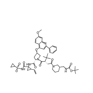 C=CC1C[C@]1(NC(=O)[C@@H]1C[C@@H](Oc2cc(-c3ccccc3)nc3cc(OC)ccc23)CN1C(=O)[C@@H](CC(=O)N1CCCC(CNC(=O)OC(C)(C)C)C1)C(C)(C)C)C(=O)NS(=O)(=O)C1CC1